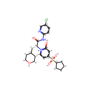 O=C(Nc1ccc(Cl)cn1)[C@@H](CC1CCOCC1)n1ccc(S(=O)(=O)C2CCCC2)cc1=O